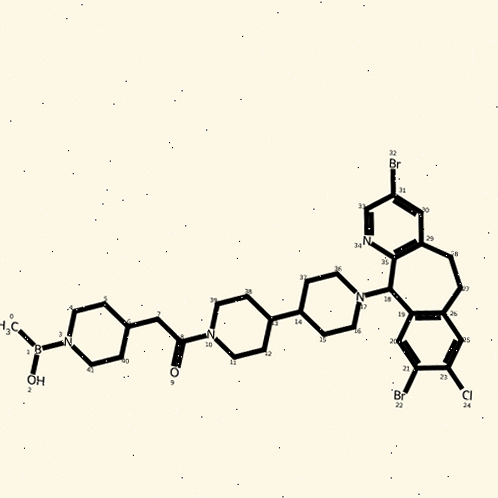 CB(O)N1CCC(CC(=O)N2CCC(C3CCN(C4c5cc(Br)c(Cl)cc5CCc5cc(Br)cnc54)CC3)CC2)CC1